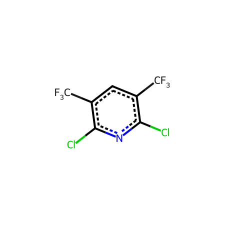 FC(F)(F)c1cc(C(F)(F)F)c(Cl)nc1Cl